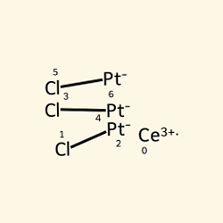 [Ce+3].[Cl][Pt-].[Cl][Pt-].[Cl][Pt-]